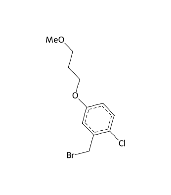 COCCCOc1ccc(Cl)c(CBr)c1